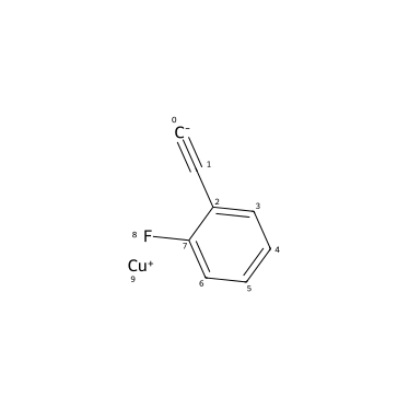 [C-]#Cc1ccccc1F.[Cu+]